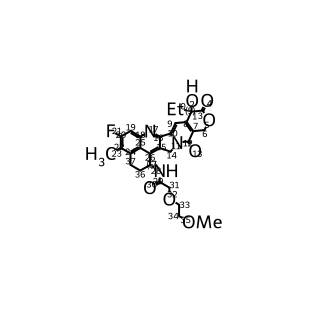 CC[C@@]1(O)C(=O)OCc2c1cc1n(c2=O)Cc2c-1nc1cc(F)c(C)c3c1c2[C@@H](NC(=O)COCCOC)CC3